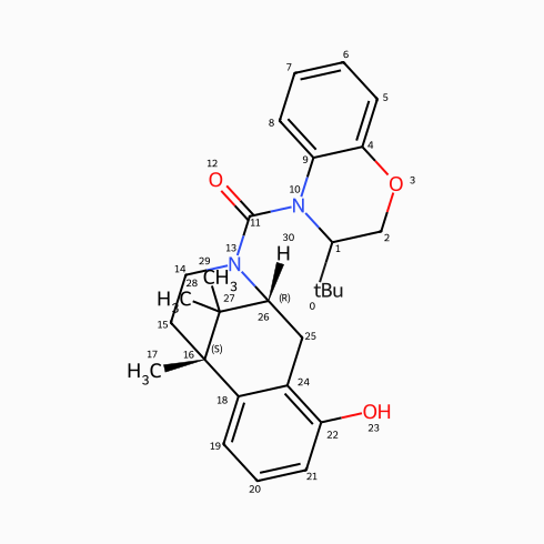 CC(C)(C)C1COc2ccccc2N1C(=O)N1CC[C@@]2(C)c3cccc(O)c3C[C@@H]1C2(C)C